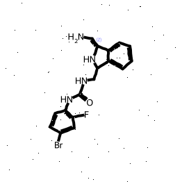 N/C=C1\NC(CNC(=O)Nc2ccc(Br)cc2F)c2ccccc21